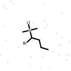 CCCC(Br)[Si](C)(C)Cl